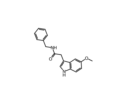 COc1ccc2[nH]cc(CC(=O)NCc3ccccc3)c2c1